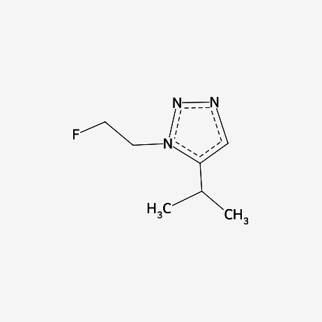 CC(C)c1cnnn1CCF